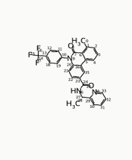 Cc1cccc2c1c(=O)n(-c1ccc(C(F)(F)F)cc1)c1ccc(C(=O)N[C@@H](C)c3ccccn3)cc21